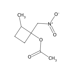 CC(=O)OC1(C[N+](=O)[O-])CCC1C